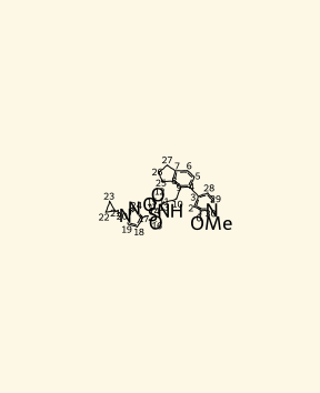 COc1cc(-c2ccc3c(c2CC(=O)NS(=O)(=O)c2ccn(C4CC4)n2)CCC3)ccn1